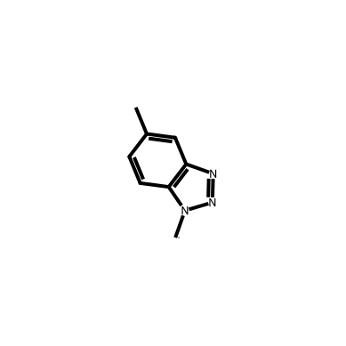 [CH2]n1nnc2cc(C)ccc21